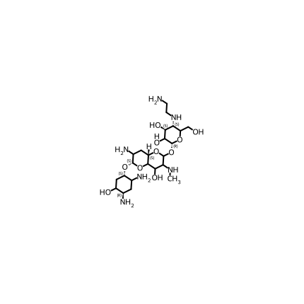 CNC1C(O[C@H]2OC(CO)[C@@H](NCCN)[C@H](O)C2O)O[C@H]2CC(N)[C@@H](O[C@H]3CC(O)[C@H](N)CC3N)OC2C1O